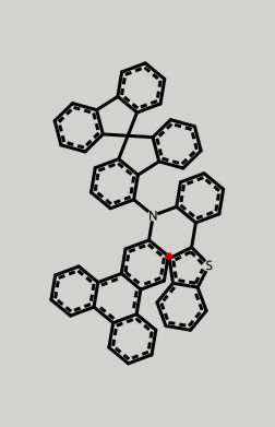 c1ccc(N(c2ccc3c4ccccc4c4ccccc4c3c2)c2cccc3c2-c2ccccc2C32c3ccccc3-c3ccccc32)c(-c2cc3ccccc3s2)c1